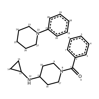 O=C(c1ccccc1)N1CCC(NC2CC2)CC1.c1ccc(N2CCCCC2)cc1